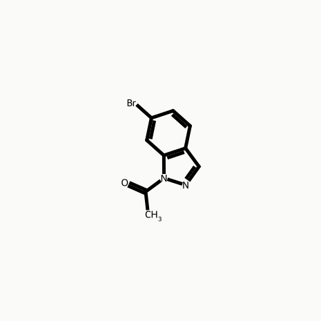 CC(=O)n1ncc2ccc(Br)cc21